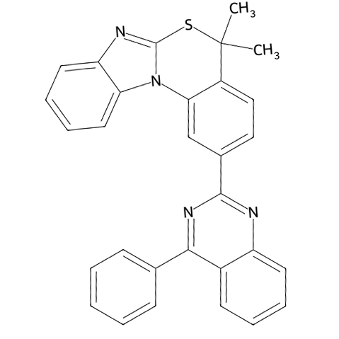 CC1(C)Sc2nc3ccccc3n2-c2cc(-c3nc(-c4ccccc4)c4ccccc4n3)ccc21